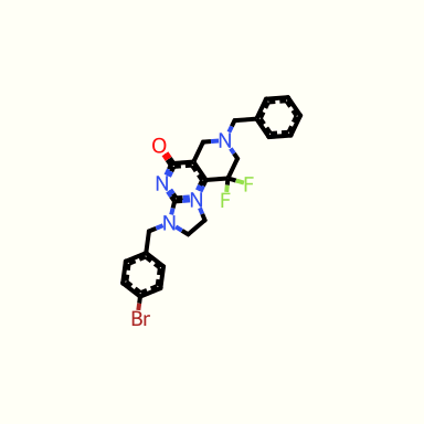 O=c1nc2n(c3c1CN(Cc1ccccc1)CC3(F)F)CCN2Cc1ccc(Br)cc1